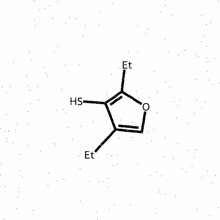 CCc1coc(CC)c1S